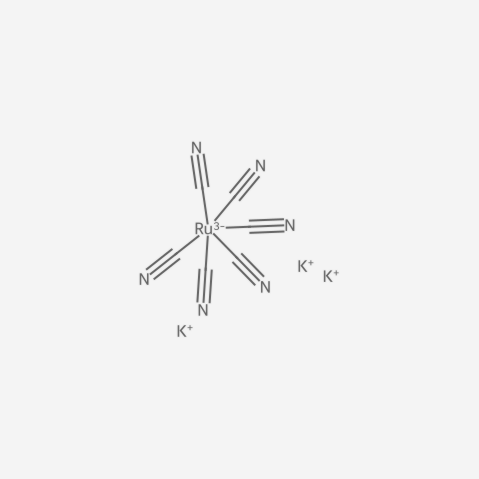 N#[C][Ru-3]([C]#N)([C]#N)([C]#N)([C]#N)[C]#N.[K+].[K+].[K+]